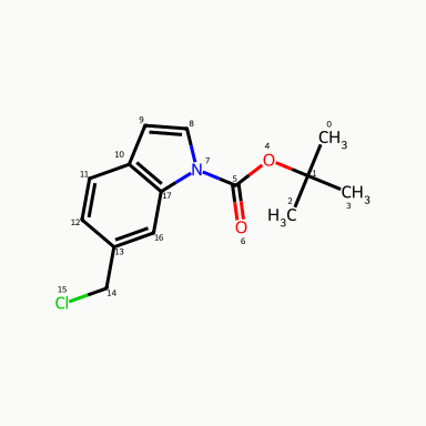 CC(C)(C)OC(=O)n1ccc2ccc(CCl)cc21